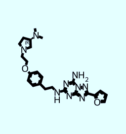 CN(C)[C@@H]1CCN(CCOc2ccc(CCNc3nc(N)n4nc(-c5ccco5)nc4n3)cc2)C1